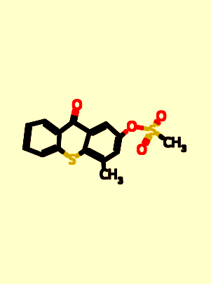 Cc1cc(OS(C)(=O)=O)cc2c(=O)c3ccccc3sc12